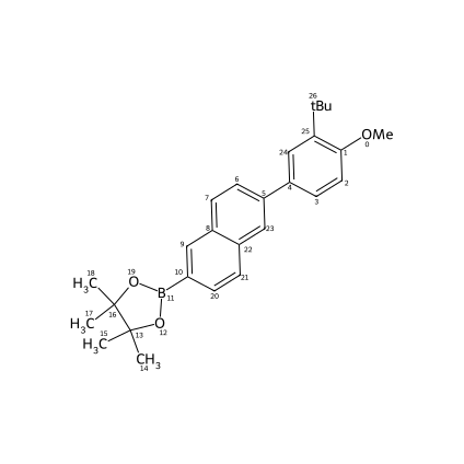 COc1ccc(-c2ccc3cc(B4OC(C)(C)C(C)(C)O4)ccc3c2)cc1C(C)(C)C